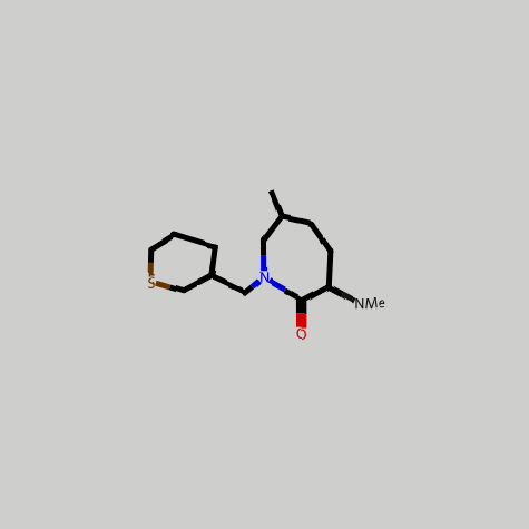 CNC1CCC(C)CN(CC2CCCSC2)C1=O